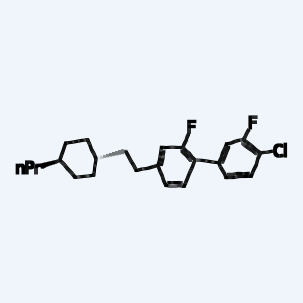 CCC[C@H]1CC[C@H](CCc2ccc(-c3ccc(Cl)c(F)c3)c(F)c2)CC1